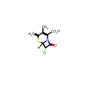 C=C1S[C@H]2[C@@H](Cl)C(=O)N2C(C(=O)O)=C1C